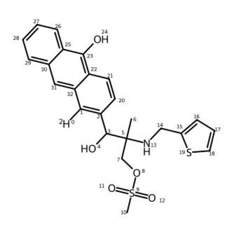 [2H]c1c(C(O)C(C)(COS(C)(=O)=O)NCc2cccs2)ccc2c(O)c3ccccc3cc12